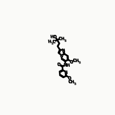 COc1cccc(C(=O)Nc2cn3cc(CCC(C)(C)O)nc3cc2OC)n1